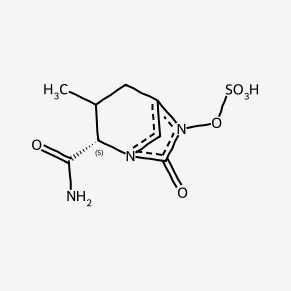 CC1Cc2cn(c(=O)n2OS(=O)(=O)O)[C@@H]1C(N)=O